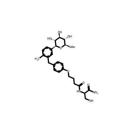 CS[C@H]1O[C@@H](c2ccc(C)c(Cc3ccc(OCCCC(=O)NC(CO)C(N)=O)cc3)c2)[C@H](O)[C@@H](O)[C@@H]1O